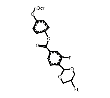 CCCCCCCCOc1ccc(OC(=O)c2ccc(C3OCC(CC)CO3)c(F)c2)cc1